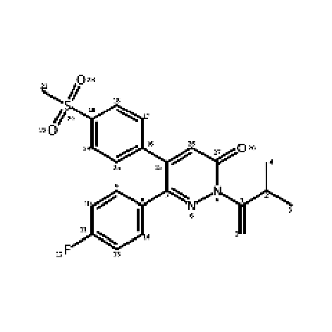 C=C(C(C)C)n1nc(-c2ccc(F)cc2)c(-c2ccc(S(C)(=O)=O)cc2)cc1=O